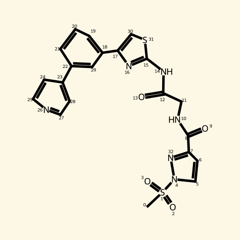 CS(=O)(=O)n1ccc(C(=O)NCC(=O)Nc2nc(-c3cccc(-c4ccncc4)c3)cs2)n1